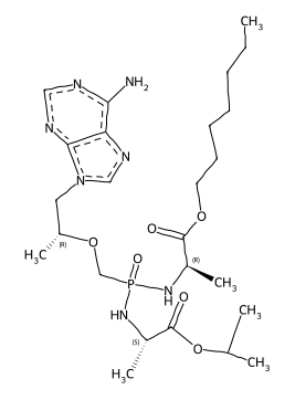 CCCCCCCOC(=O)[C@@H](C)NP(=O)(CO[C@H](C)Cn1cnc2c(N)ncnc21)N[C@@H](C)C(=O)OC(C)C